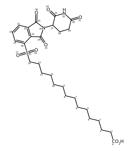 O=C(O)CCCCCCCCCCCCCCS(=O)(=O)c1cccc2c1C(=O)N(C1CCC(=O)NC1=O)C2=O